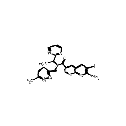 CC(c1ncccn1)N(Cc1ccc(C(F)(F)F)nn1)C(=O)c1cnc2nc(N)c(I)cc2c1